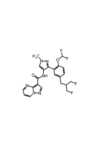 Cn1cc(NC(=O)c2cnn3cccnc23)c(-c2cc(SC(CF)CF)ccc2OC(F)F)n1